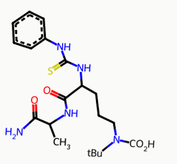 CC(NC(=O)C(CCCN(C(=O)O)C(C)(C)C)NC(=S)Nc1ccccc1)C(N)=O